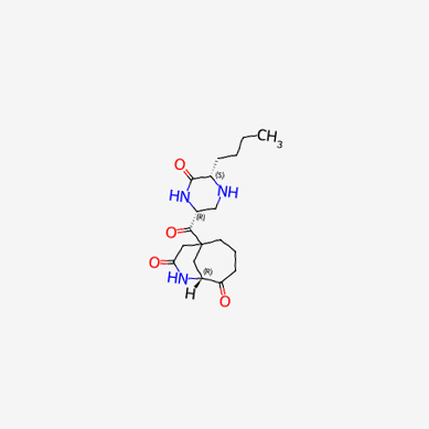 CCCC[C@@H]1NC[C@H](C(=O)C23CCCC(=O)[C@@H](C2)NC(=O)C3)NC1=O